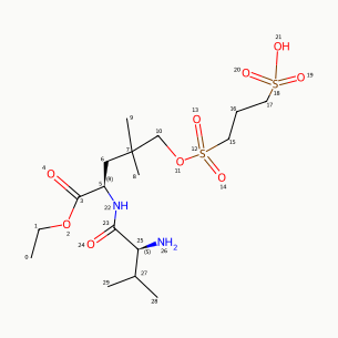 CCOC(=O)[C@@H](CC(C)(C)COS(=O)(=O)CCCS(=O)(=O)O)NC(=O)[C@@H](N)C(C)C